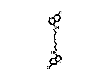 Clc1ccc2c(NCCCCNCCCNc3ccnc4cc(Cl)ccc34)ccnc2c1